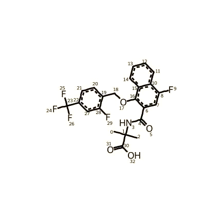 CC(C)(NC(=O)c1cc(F)c2ccccc2c1OCc1ccc(C(F)(F)F)cc1F)C(=O)O